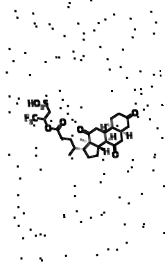 CC(CCC(=O)OC(CS(=O)(=O)O)C(F)(F)F)[C@H]1CC[C@H]2[C@@H]3C(=O)C[C@@H]4CC(=O)CC[C@]4(C)[C@H]3CC(=O)[C@]12C